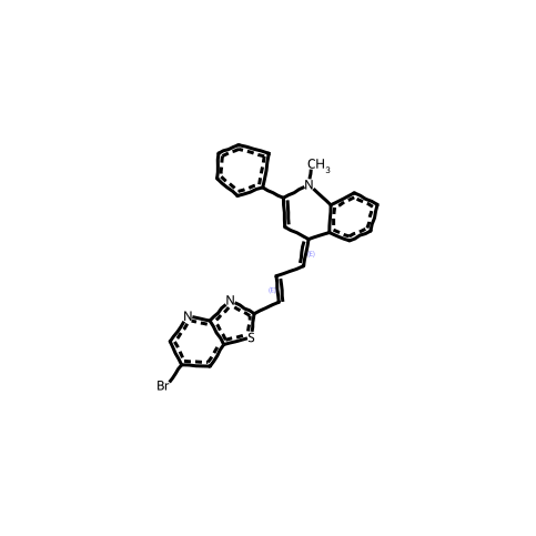 CN1C(c2ccccc2)=C/C(=C\C=C\c2nc3ncc(Br)cc3s2)c2ccccc21